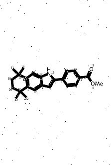 COC(=O)c1ccc(-c2cc3cc4c(cc3[nH]2)C(C)(C)CCC4(C)C)cc1